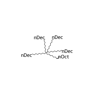 CCCCCCCC/C=C\CCCCCCC(CCCCCCCCCCCCCCCCCC)(CCCCCCCCCCCCCCCCCC)[C](CCCCCCCCCCCCCCCCCC)CCCCCCCCCCCCCCCCCC